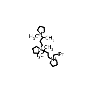 CC(C)C[N+]1(CCC(C)(C)[N+]2(CCC(C)[N+]3(C)CCCC3)CCCC2)CCCC1